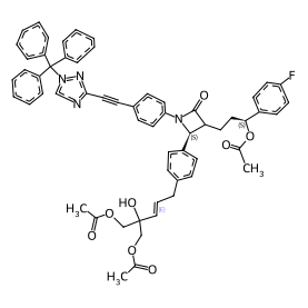 CC(=O)OCC(O)(/C=C/Cc1ccc([C@@H]2C(CC[C@H](OC(C)=O)c3ccc(F)cc3)C(=O)N2c2ccc(C#Cc3ncn(C(c4ccccc4)(c4ccccc4)c4ccccc4)n3)cc2)cc1)COC(C)=O